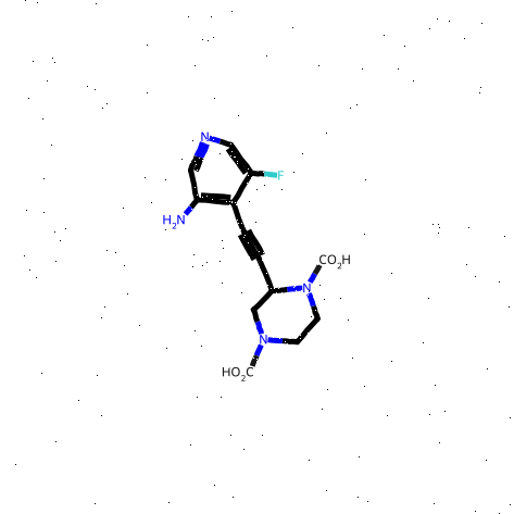 Nc1cncc(F)c1C#CC1CN(C(=O)O)CCN1C(=O)O